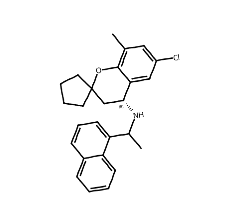 Cc1cc(Cl)cc2c1OC1(CCCC1)C[C@H]2NC(C)c1cccc2ccccc12